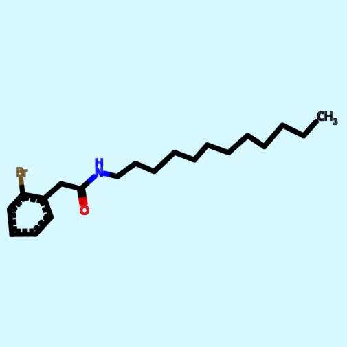 CCCCCCCCCCCCNC(=O)Cc1ccccc1Br